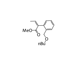 CC=C(C(=O)OC)c1ccccc1COCCCC